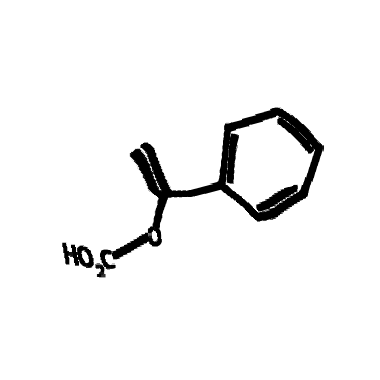 C=C(OC(=O)O)c1ccccc1